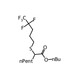 CCCCCC(SCCCC(F)(F)C(F)(F)F)C(=O)OCCCC